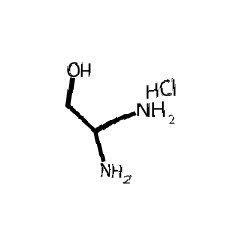 Cl.NC(N)CO